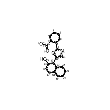 O=[N+]([O-])c1ccccc1-c1nnc(-c2c(O)ccc3ccccc23)o1